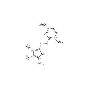 COc1ccc(OC)c(CCc2sc(N)c(C#N)c2C)c1